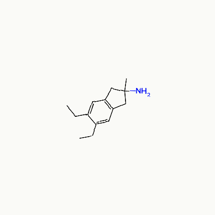 CCc1cc2c(cc1CC)CC(C)(N)C2